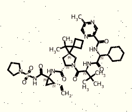 C=C[C@@H]1C[C@]1(NC(=O)[C@@H]1C[C@@]2(CN1C(=O)[C@@H](NC(=O)[C@@H](NC(=O)c1cnc(C)cn1)C1CCCCC1)C(C)(C)C)C(C)(C)C21CCC1)C(=O)NS(=O)(=O)N1CCCC1